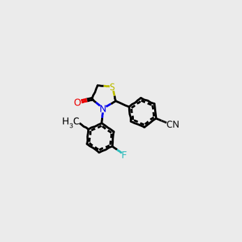 Cc1ccc(F)cc1N1C(=O)CSC1c1ccc(C#N)cc1